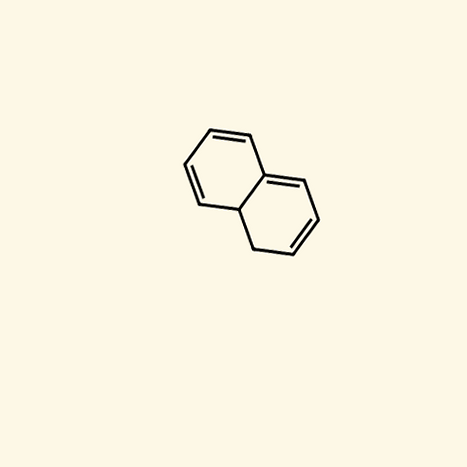 C1=CCC2C=CC=CC2=C1